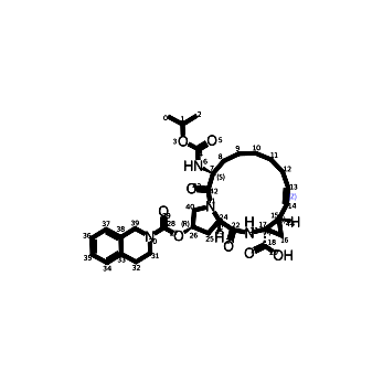 CC(C)OC(=O)N[C@H]1CCCCC/C=C\[C@@H]2C[C@@]2(C(=O)O)NC(=O)[C@@H]2C[C@@H](OC(=O)N3CCc4ccccc4C3)CN2C1=O